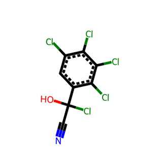 N#CC(O)(Cl)c1cc(Cl)c(Cl)c(Cl)c1Cl